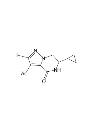 CC(=O)c1c(I)nn2c1C(=O)NC(C1CC1)C2